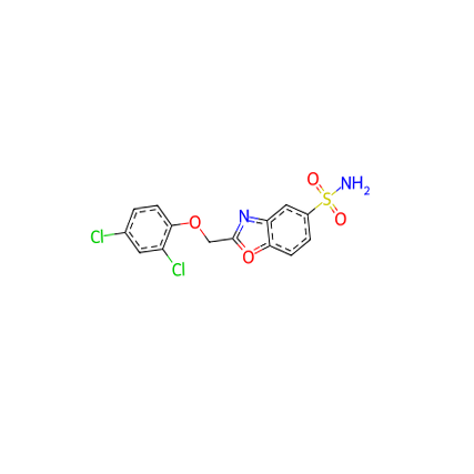 NS(=O)(=O)c1ccc2oc(COc3ccc(Cl)cc3Cl)nc2c1